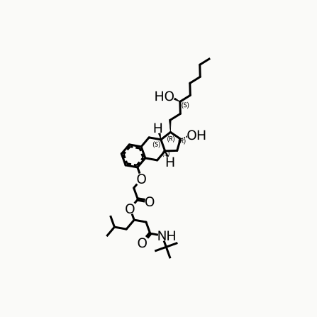 CCCCC[C@H](O)CC[C@@H]1[C@H]2Cc3cccc(OCC(=O)OC(CC(=O)NC(C)(C)C)CC(C)C)c3C[C@H]2C[C@H]1O